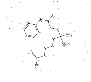 CCN(CCC(N)(CCCCB(O)O)C(=O)O)Cc1ccccc1